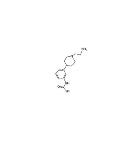 CC(C)C(=O)Nc1cccc(C2CCN(CCN)CC2)c1